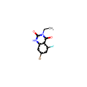 CCn1c(=O)[nH]c2cc(Br)cc(F)c2c1=O